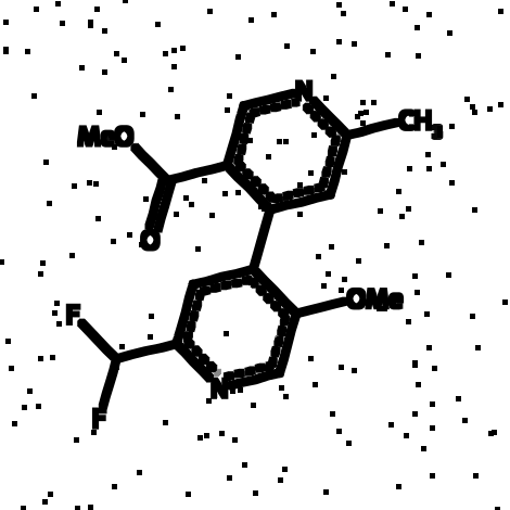 COC(=O)c1cnc(C)cc1-c1cc(C(F)F)ncc1OC